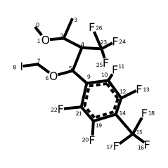 COC(C)C(C(OCI)c1c(F)c(F)c(C(F)(F)F)c(F)c1F)C(F)(F)F